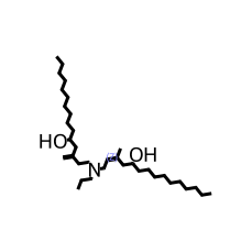 C=C(CCN(C/C=C(/C)CC(O)CCCCCCCCCC)CCC)CC(O)CCCCCCCCCC